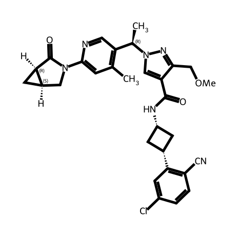 COCc1nn([C@H](C)c2cnc(N3C[C@H]4C[C@H]4C3=O)cc2C)cc1C(=O)N[C@H]1C[C@@H](c2cc(Cl)ccc2C#N)C1